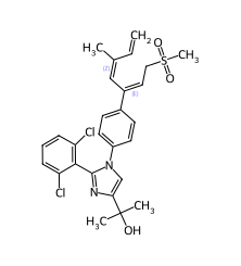 C=C/C(C)=C\C(=C/CS(C)(=O)=O)c1ccc(-n2cc(C(C)(C)O)nc2-c2c(Cl)cccc2Cl)cc1